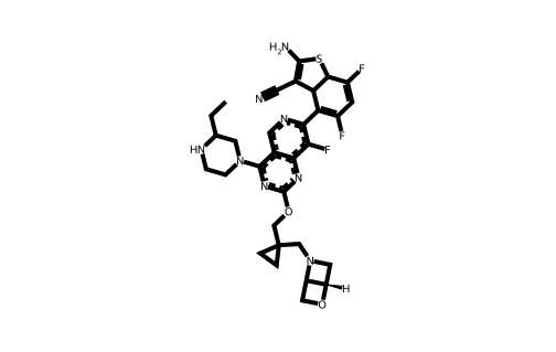 CCC1CN(c2nc(OCC3(CN4C[C@@H]5OCC54)CC3)nc3c(F)c(C4=C(F)C=C(F)C5SC(N)=C(C#N)C45)ncc23)CCN1